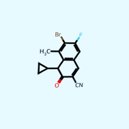 Cc1c(Br)c(F)cc2c1C(C1CC1)C(=O)C(C#N)=C2